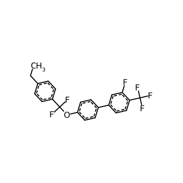 CCc1ccc(C(F)(F)Oc2ccc(-c3ccc(C(F)(F)F)c(F)c3)cc2)cc1